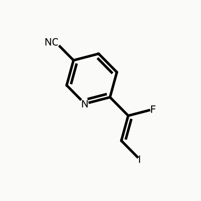 N#Cc1ccc(C(F)=CI)nc1